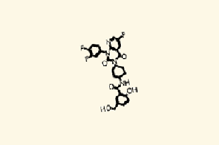 O=C(NC1CCC(n2c(=O)c3cc(F)cnc3n(-c3ccc(F)c(F)c3)c2=O)CC1)c1cc(CO)ccc1O